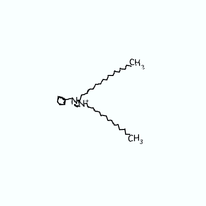 CCCCCCCCCCCCCCCCCc1n(Cc2ccccc2)cc[n+]1CCCCCCCCCCCCCCCC